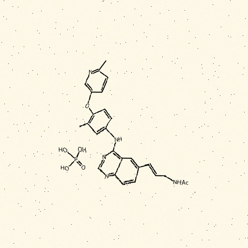 CC(=O)NC/C=C/c1ccc2ncnc(Nc3ccc(Oc4ccc(C)nc4)c(C)c3)c2c1.O=P(O)(O)O